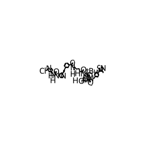 Cc1ncsc1-c1ccc(CNC(=O)[C@@H]2C[C@@H](O)CN2C(=O)[C@@H](NC(=O)CCCCNC(=O)c2cccc(C#Cc3cc(NC(=O)Nc4ccnc(Cl)c4)ccn3)c2)C(C)(C)C)cc1